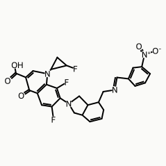 O=C(O)c1cn(C2CC2F)c2c(F)c(N3CC4C=CCC(CN=Cc5cccc([N+](=O)[O-])c5)C4C3)c(F)cc2c1=O